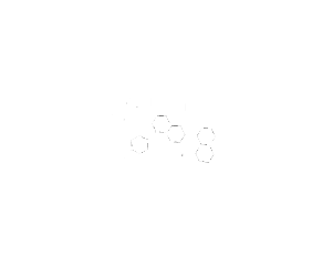 COc1cc2c3c(cc(O)c2cc1-c1cccc2ccccc12)C1(CC(C)(C)CC(C)(C)C1)c1cc(SC)ccc1-3